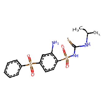 CC(C)NC(=S)NS(=O)(=O)c1ccc(S(=O)(=O)c2ccccc2)cc1N